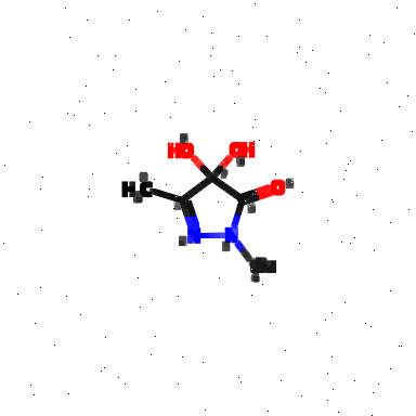 CC1=NN(C(C)(C)C)C(=O)C1(O)O